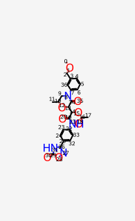 COCc1cccc(N2CC(C)O[C@H]([C@@H](OC(C)=O)C(=O)Nc3ccc(-c4noc(=O)[nH]4)cc3)C2=O)c1